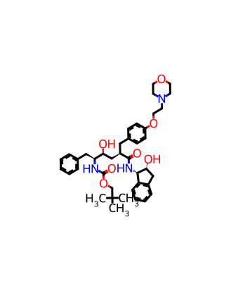 CC(C)(C)COC(=O)N[C@@H](Cc1ccccc1)[C@@H](O)C[C@@H](Cc1ccc(OCCN2CCOCC2)cc1)C(=O)N[C@H]1c2ccccc2C[C@H]1O